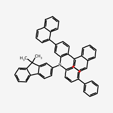 CC1(C)c2ccccc2-c2ccc(N(c3ccc(-c4ccccc4)cc3)c3cc(-c4cccc5ccccc45)ccc3-c3cccc4ccccc34)cc21